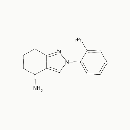 CC(C)c1ccccc1-n1cc2c(n1)CCCC2N